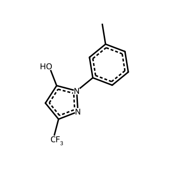 Cc1cccc(-n2nc(C(F)(F)F)cc2O)c1